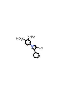 CC(=O)Nc1cc(-n2cc(C#N)c(-c3ccccc3)c2)ccc1C(=O)O